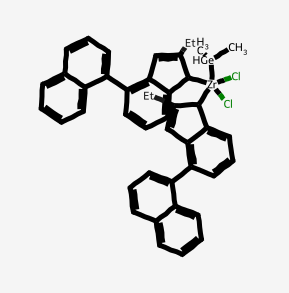 CCC1=Cc2c(-c3cccc4ccccc34)cccc2[CH]1[Zr]([Cl])([Cl])([CH]1C(CC)=Cc2c(-c3cccc4ccccc34)cccc21)[GeH]([CH3])[CH3]